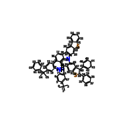 CC(C)(C)c1ccc(Nc2cc3c(cc2-c2ccc4c5cc6c(cc5n5c4c2Bc2cc4sc(-c7ccccc7)c(-c7ccccc7)c4cc2-5)sc2ccccc26)-c2ccccc2C3(C)C)cc1